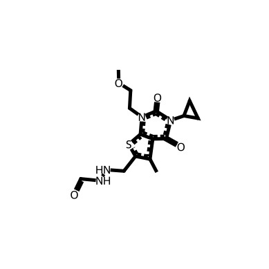 COCCn1c(=O)n(C2CC2)c(=O)c2c(C)c(CNNC=O)sc21